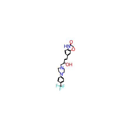 O=C1COc2cc(C=C[C@H](O)CN3CCN(c4ccc(C(F)(F)F)cc4)CC3)ccc2N1